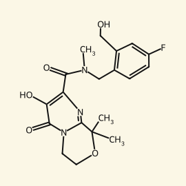 CN(Cc1ccc(F)cc1CO)C(=O)c1nc2n(c(=O)c1O)CCOC2(C)C